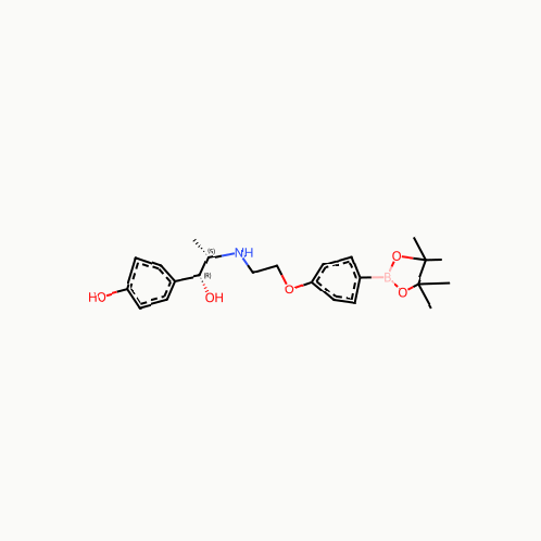 C[C@H](NCCOc1ccc(B2OC(C)(C)C(C)(C)O2)cc1)[C@H](O)c1ccc(O)cc1